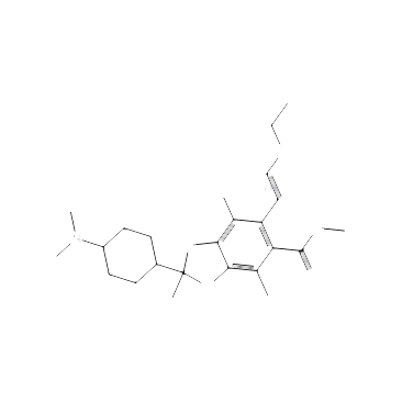 CCO/C=C/c1c(Cl)c2c(c(C)c1C(=O)OC)OC(C)(C1CCC(N(C)C)CC1)O2